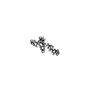 COc1ccc(C2Sc3cc(Cl)ccc3N(CCCN3CCN(c4ccc5c(c4)OCO5)CC3)C(=O)C2OC(C)=O)cc1